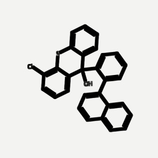 OC1(c2ccccc2-c2cccc3ccccc23)c2ccccc2Sc2c(Cl)cccc21